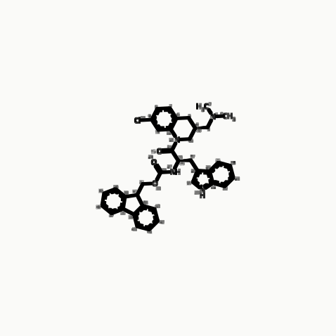 CN(C)C[C@@H]1Cc2ccc(Cl)cc2N(C(=O)[C@@H](Cc2c[nH]c3ccccc23)NC(=O)OCC2c3ccccc3-c3ccccc32)C1